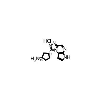 Cl.N[C@@H]1CC[C@@H](c2nnc3cnc4[nH]ccc4n23)C1